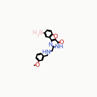 Bc1ccc2oc3c(=O)[nH]c(CNCc4cccc(OC)c4)nc3c2c1